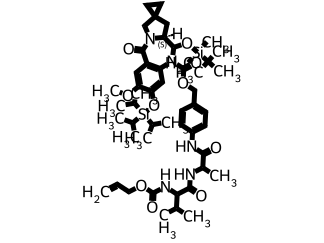 C=CCOC(=O)NC(C(=O)NC(C)C(=O)Nc1ccc(COC(=O)N2c3cc(O[Si](C(C)C)(C(C)C)C(C)C)c(OC)cc3C(=O)N3CC4(CC4)C[C@H]3C2O[Si](C)(C)C(C)(C)C)cc1)C(C)C